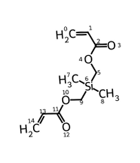 C=CC(=O)OC[Si](C)(C)COC(=O)C=C